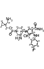 C[C@]1(N)CN(C(=O)OCC2(CN)CC2)CC[C@H]1n1cc(C(N)=O)c(Nc2ccc(F)cc2)n1